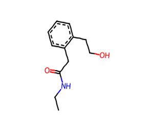 CCNC(=O)Cc1ccccc1CCO